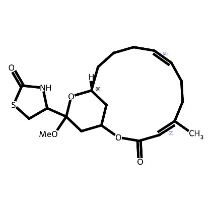 COC1(C2CSC(=O)N2)CC2C[C@@H](CCC/C=C\CC/C(C)=C\C(=O)O2)O1